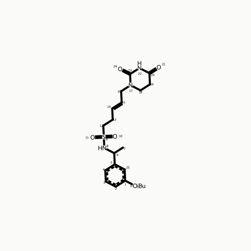 CC(C)COc1cccc(C(C)NS(=O)(=O)CC/C=C/CN2CCC(=O)NC2=O)c1